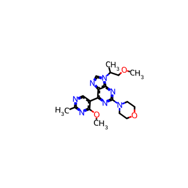 COCC(C)n1cnc2c(-c3cnc(C)nc3OC)nc(N3CCOCC3)nc21